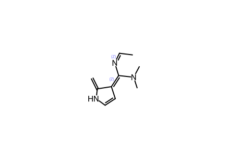 C=c1[nH]cc/c1=C(/N=C\C)N(C)C